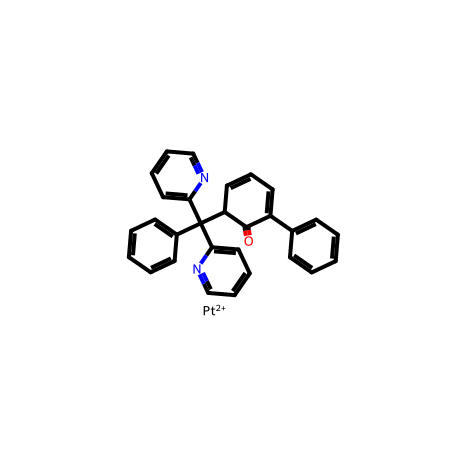 O=C1C(c2ccccc2)=CC=CC1C(c1ccccc1)(c1ccccn1)c1ccccn1.[Pt+2]